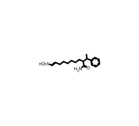 CCCCCCCCC=CCCCCCCC(C(N)=O)C(C)c1ccccc1